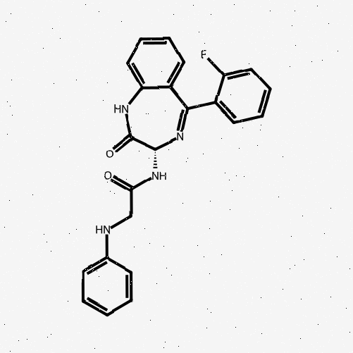 O=C(CNc1ccccc1)N[C@H]1N=C(c2ccccc2F)c2ccccc2NC1=O